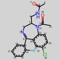 CC(=O)NCC1CN=C(c2ccccc2F)c2cc(Cl)ccc2N1C(C)=O